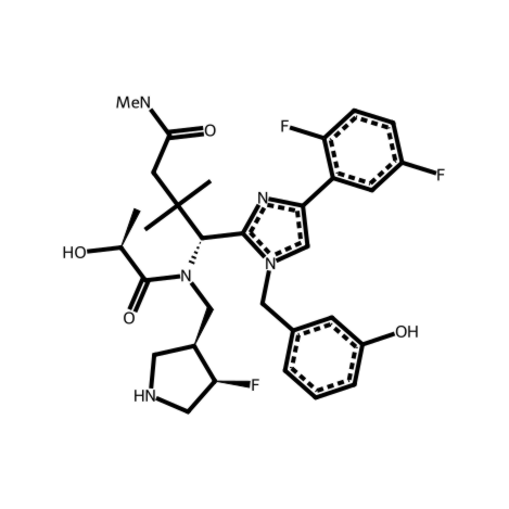 CNC(=O)CC(C)(C)[C@H](c1nc(-c2cc(F)ccc2F)cn1Cc1cccc(O)c1)N(C[C@@H]1CNC[C@@H]1F)C(=O)[C@H](C)O